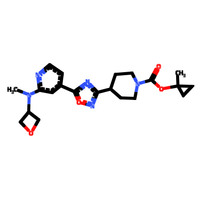 CN(c1cc(-c2nc(C3CCN(C(=O)OC4(C)CC4)CC3)no2)ccn1)C1COC1